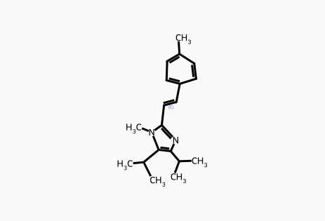 Cc1ccc(/C=C/c2nc(C(C)C)c(C(C)C)n2C)cc1